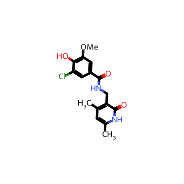 COc1cc(C(=O)NCc2c(C)cc(C)[nH]c2=O)cc(Cl)c1O